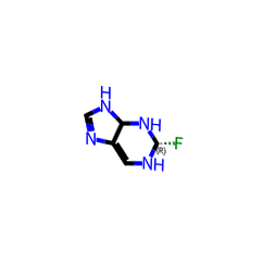 F[C@@H]1NC=C2N=CNC2N1